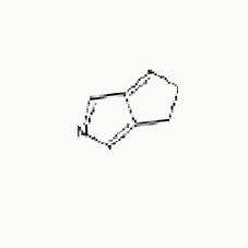 C1=NC=C2CCC=C12